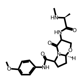 CN[C@@H](C)C(=O)NC1CO[C@H]2CCC(C(=O)Nc3ccc(OC)cc3)N2C1=O